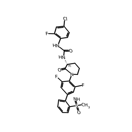 CS(=N)(=O)c1ccccc1-c1cc(F)c(N2CCC[C@@H](NC(=O)Nc3ccc(Cl)cc3F)C2=O)c(F)c1